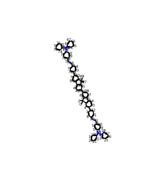 CC1(C)c2cc(-c3ccc(/C=C/c4ccc(N(c5ccccc5)c5ccccc5)cc4)cc3)ccc2-c2ccc(-c3ccc4c(c3)C(C)(C)c3cc(-c5ccc(/C=C/c6ccc(N(c7ccccc7)c7ccccc7)cc6)cc5)ccc3-4)cc21